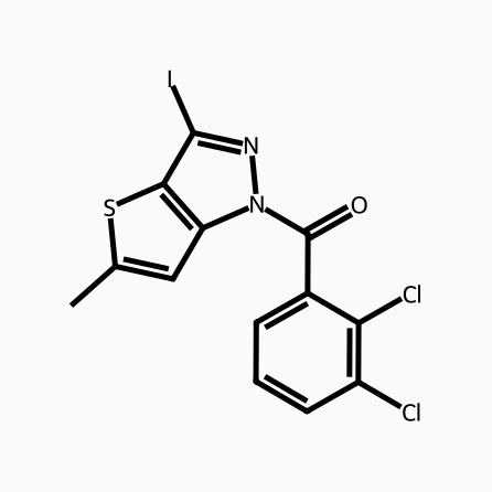 Cc1cc2c(s1)c(I)nn2C(=O)c1cccc(Cl)c1Cl